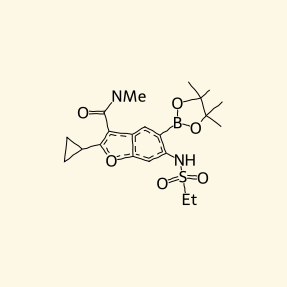 CCS(=O)(=O)Nc1cc2oc(C3CC3)c(C(=O)NC)c2cc1B1OC(C)(C)C(C)(C)O1